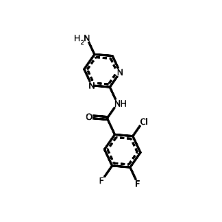 Nc1cnc(NC(=O)c2cc(F)c(F)cc2Cl)nc1